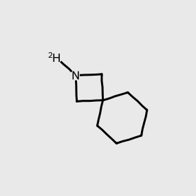 [2H]N1CC2(CCCCC2)C1